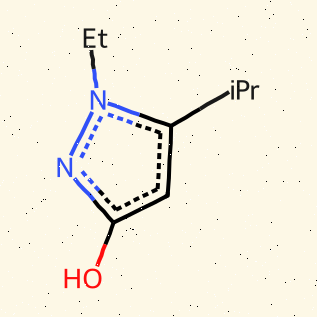 CCn1nc(O)cc1C(C)C